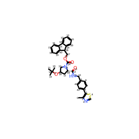 Cc1ncsc1-c1ccc(CNC(=O)[C@@H]2C[C@@H](OC(C)(C)C)CN2C(=O)OCC2c3ccccc3-c3ccccc32)cc1